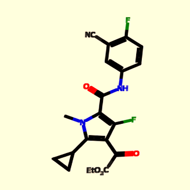 CCOC(=O)C(=O)c1c(F)c(C(=O)Nc2ccc(F)c(C#N)c2)n(C)c1C1CC1